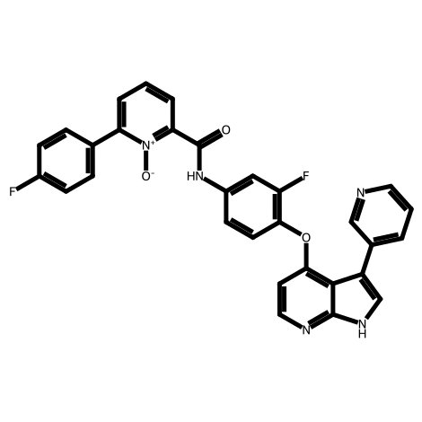 O=C(Nc1ccc(Oc2ccnc3[nH]cc(-c4cccnc4)c23)c(F)c1)c1cccc(-c2ccc(F)cc2)[n+]1[O-]